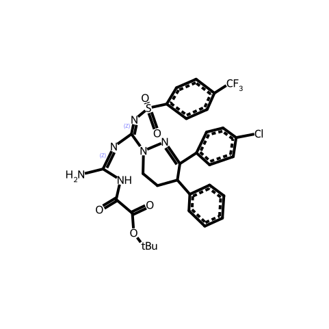 CC(C)(C)OC(=O)C(=O)N/C(N)=N\C(=N\S(=O)(=O)c1ccc(C(F)(F)F)cc1)N1CCC(c2ccccc2)C(c2ccc(Cl)cc2)=N1